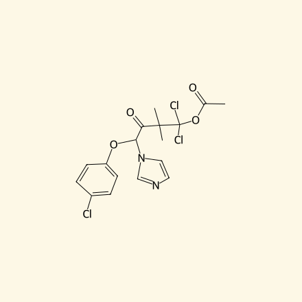 CC(=O)OC(Cl)(Cl)C(C)(C)C(=O)C(Oc1ccc(Cl)cc1)n1ccnc1